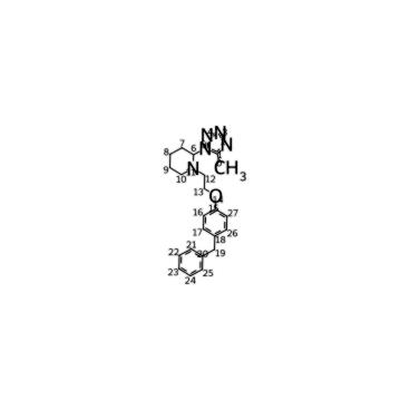 Cc1nnnn1C1CCCCN1CCOc1ccc(Cc2ccccc2)cc1